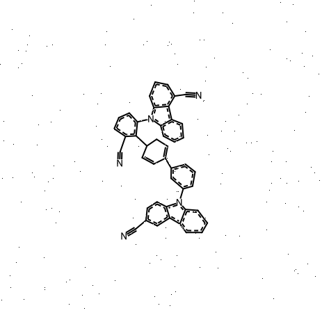 N#Cc1ccc2c(c1)c1ccccc1n2-c1cccc(C2=CCC(c3c(C#N)cccc3-n3c4ccccc4c4c(C#N)cccc43)C=C2)c1